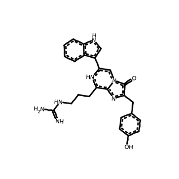 N=C(N)NCCCc1[nH]c(-c2c[nH]c3ccccc23)cn2c(=O)c(Cc3ccc(O)cc3)nc1-2